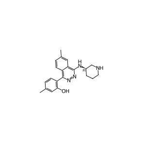 Cc1ccc(-c2nnc(N[C@@H]3CCCNC3)c3cc(C)ccc23)c(O)c1